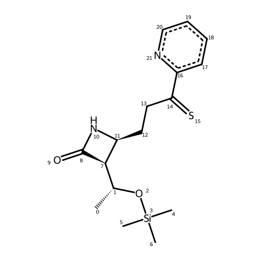 C[C@@H](O[Si](C)(C)C)[C@H]1C(=O)N[C@H]1CCC(=S)c1ccccn1